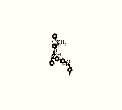 CS(=O)(=O)c1cc(OC[C@@H](O)CN(Cc2ccccc2)[C@H]2CC[C@H](c3ccc(C(=O)NCc4ccc(F)cc4)cc3)CC2)ccc1OCc1ccccc1